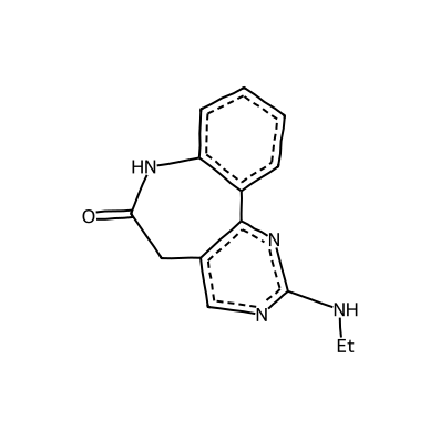 CCNc1ncc2c(n1)-c1ccccc1NC(=O)C2